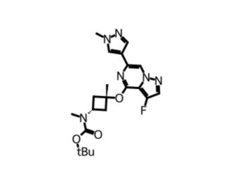 Cn1cc(-c2cn3ncc(F)c3c(O[C@]3(C)C[C@H](N(C)C(=O)OC(C)(C)C)C3)n2)cn1